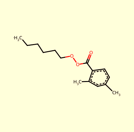 [CH2]CCCCCOOC(=O)c1ccc(C)cc1C